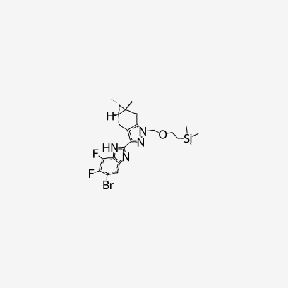 C[C@H]1[C@H]2Cc3c(-c4nc5cc(Br)c(F)c(F)c5[nH]4)nn(COCC[Si](C)(C)C)c3C[C@]21C